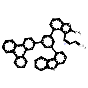 C=C/C=C\c1c(C)sc2cccc(-c3cc(-c4ccc5c6ccccc6c6ccccc6c5c4)cc(-c4cccc5sc6ccccc6c45)c3)c12